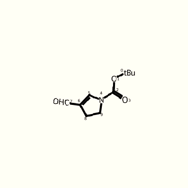 CC(C)(C)OC(=O)N1C=C(C=O)CC1